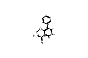 COc1c(-c2ccccc2)[c]ncc1C(N)=O